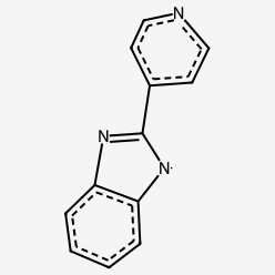 c1ccc2c(c1)[N]C(c1ccncc1)=N2